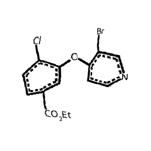 CCOC(=O)c1ccc(Cl)c(Oc2c[c]ncc2Br)c1